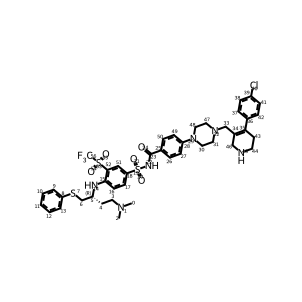 CN(C)CC[C@H](CSc1ccccc1)Nc1ccc(S(=O)(=O)NC(=O)c2ccc(N3CCN(CC4=C(c5ccc(Cl)cc5)CCNC4)CC3)cc2)cc1S(=O)(=O)C(F)(F)F